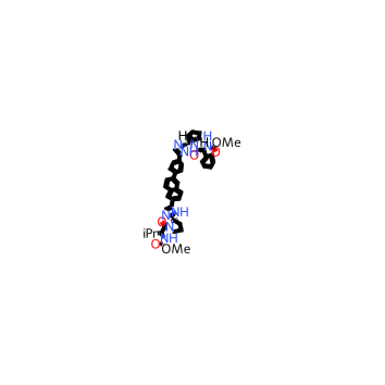 COC(=O)NC(C(=O)N1CCC[C@H]1c1ncc(-c2ccc3cc(-c4ccc(-c5cnc([C@@H]6[C@@H]7CC[C@@H](C7)N6C(=O)[C@H](NC(=O)OC)c6ccccc6)[nH]5)cc4)ccc3c2)[nH]1)C(C)C